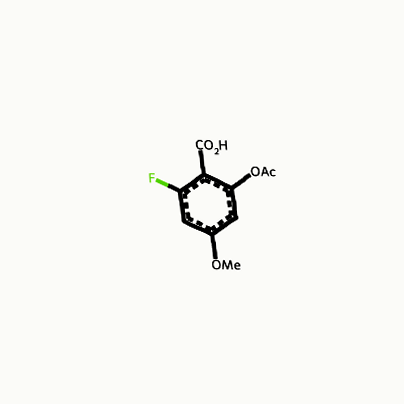 COc1cc(F)c(C(=O)O)c(OC(C)=O)c1